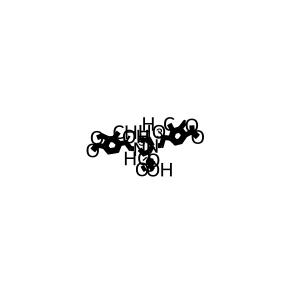 Cc1c([C@@H](O)CN2CCN(C[C@H](O)c3ccc4c(c3C)COC4=O)CC2)ccc2c1COC2=O.O=S(=O)(O)O